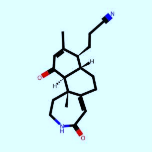 CC1=CC(=O)[C@H]2[C@@H](CCC3=CC(=O)NCC[C@@]32C)[C@@H]1CCC#N